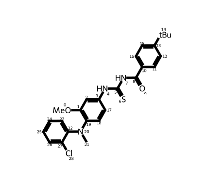 COc1cc(NC(=S)NC(=O)c2ccc(C(C)(C)C)cc2)ccc1N(C)c1ccccc1Cl